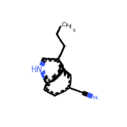 CC[CH]c1c[nH]c2ccc(C#N)cc12